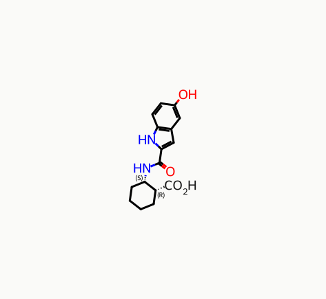 O=C(N[C@H]1CCCC[C@H]1C(=O)O)c1cc2cc(O)ccc2[nH]1